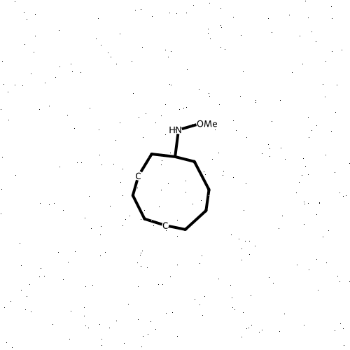 CONC1CCCCCCCCC1